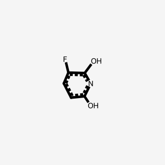 Oc1ccc(F)c(O)n1